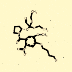 CCOC(C=O)(O[C@H]1CCCN1C(=O)c1cc(OC)c(OCCCCBr)cc1[N+](=O)[O-])SCC